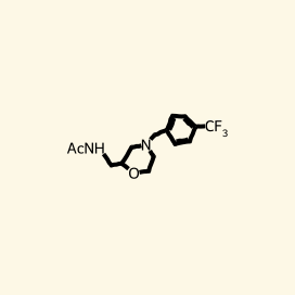 CC(=O)NCC1CN(Cc2ccc(C(F)(F)F)cc2)CCO1